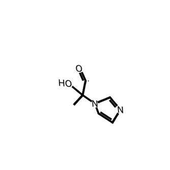 CC(O)([C]=O)n1ccnc1